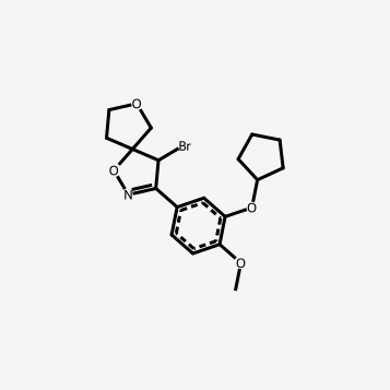 COc1ccc(C2=NOC3(CCOC3)C2Br)cc1OC1CCCC1